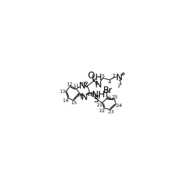 CN(C)CCCNC(=O)c1nc2ccccc2nc1NSc1ccccc1Br